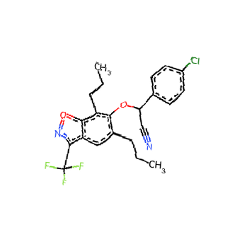 CCCc1cc2c(C(F)(F)F)noc2c(CCC)c1OC(C#N)c1ccc(Cl)cc1